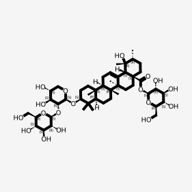 C[C@@H]1CC[C@]2(C(=O)O[C@@H]3O[C@H](CO)[C@@H](O)[C@H](O)[C@H]3O)CC[C@]3(C)C(=CC[C@@H]4[C@@]5(C)CC[C@H](O[C@@H]6OC[C@@H](O)[C@H](O)[C@H]6O[C@@H]6O[C@H](CO)[C@@H](O)[C@H](O)[C@H]6O)C(C)(C)[C@@H]5CC[C@]43C)[C@@H]2[C@]1(C)O